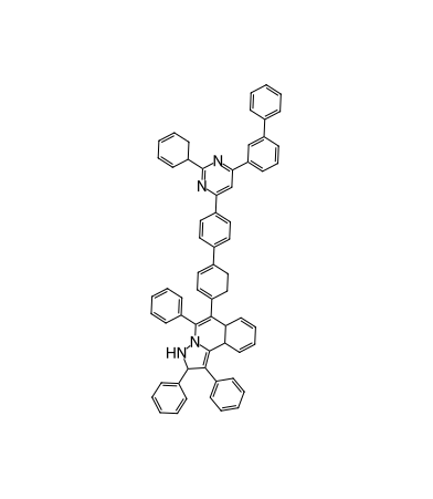 C1=CCC(c2nc(-c3ccc(C4=CC=C(C5=C(c6ccccc6)N6NC(c7ccccc7)C(c7ccccc7)=C6C6C=CC=CC56)CC4)cc3)cc(-c3cccc(-c4ccccc4)c3)n2)C=C1